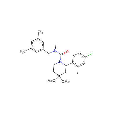 COC1(OC)CCN(C(=O)N(C)Cc2cc(C(F)(F)F)cc(C(F)(F)F)c2)C(c2ccc(F)cc2C)C1